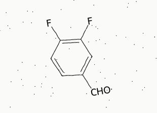 O=[C]c1ccc(F)c(F)c1